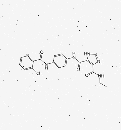 CCNC(=O)c1nc[nH]c1C(=O)Nc1ccc(NC(=O)c2ncccc2Cl)cc1